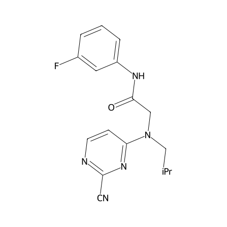 CC(C)CN(CC(=O)Nc1cccc(F)c1)c1ccnc(C#N)n1